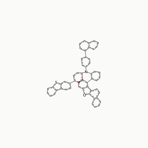 c1ccc(N(c2ccc(-c3ccc4c(c3)sc3ccccc34)cc2)c2ccc(-c3cccc4ccccc34)cc2)c(-c2cccc3oc4c5ccccc5ccc4c23)c1